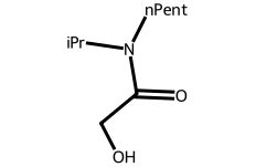 CCCCCN(C(=O)CO)C(C)C